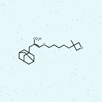 CC1(CCCCCOC=C(CC23CC4CC(CC(C4)C2)C3)C(=O)O)COC1